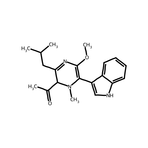 COC1=C(c2c[nH]c3ccccc23)N(C)C(C(C)=O)C(CC(C)C)=N1